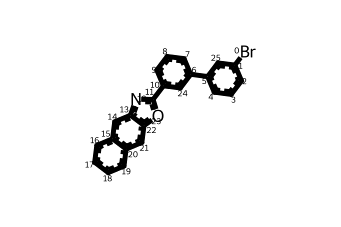 Brc1cccc(-c2cccc(-c3nc4cc5ccccc5cc4o3)c2)c1